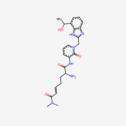 CN(C)C(=O)/C=C/CCC(N)C(=O)Nc1cccn(Cc2nc3cccc(C(O)C(C)(C)C)c3[nH]2)c1=O